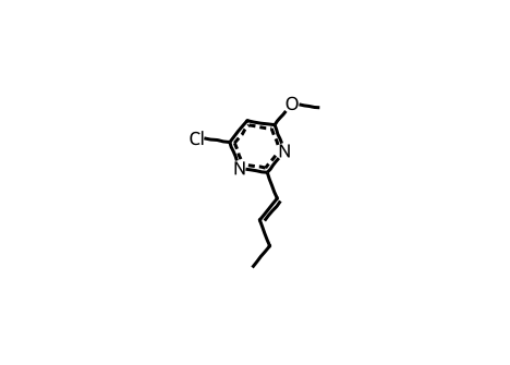 CCC=Cc1nc(Cl)cc(OC)n1